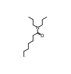 [CH2]CCCCCC(=O)N(CCC)CCC